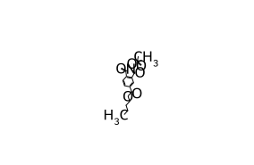 CCCCOC(=O)c1ccc2c(c1)C(=O)N(OC(C)=O)C2=O